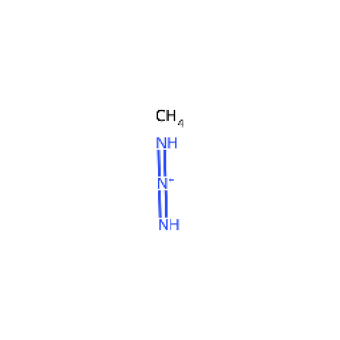 C.N=[N+]=N